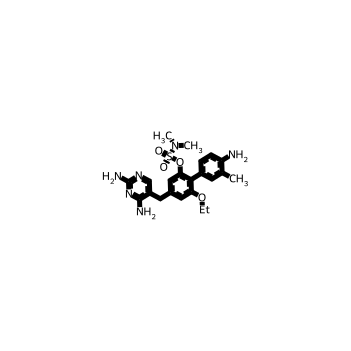 CCOc1cc(Cc2cnc(N)nc2N)cc(OS(=O)(=O)N(C)C)c1-c1ccc(N)c(C)c1